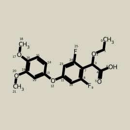 CCOC(C(=O)O)c1c(F)cc(Oc2ccc(OC)c(OC)c2)cc1F